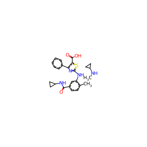 CNC1CC1.Cc1ccc(C(=O)NC2CC2)cc1Nc1nc(-c2ccccc2)c(C(=O)O)s1